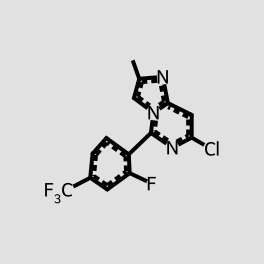 Cc1cn2c(-c3ccc(C(F)(F)F)cc3F)nc(Cl)cc2n1